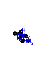 Nc1cccc(-n2cnc3c(N(Cc4ccccc4)Cc4ccccc4)nc(Nc4ccc(Oc5ccccc5)cc4)nc32)c1